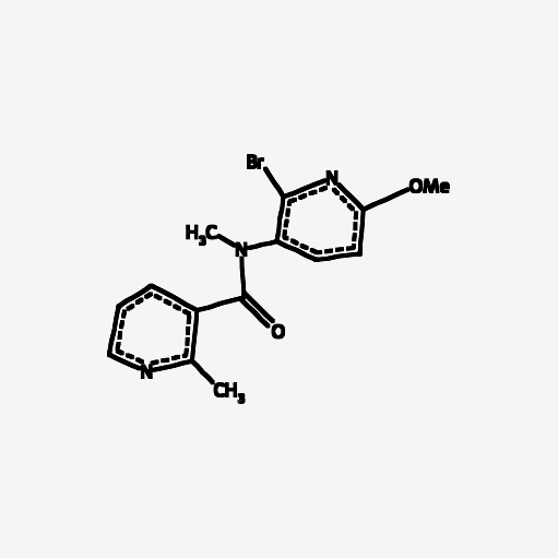 COc1ccc(N(C)C(=O)c2cccnc2C)c(Br)n1